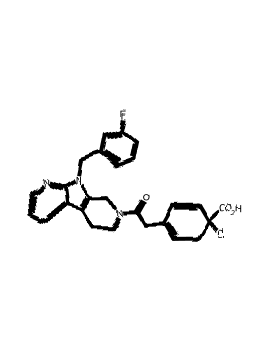 O=C(CC1=CCC(Cl)(C(=O)O)C=C1)N1CCc2c(n(Cc3cccc(F)c3)c3ncccc23)C1